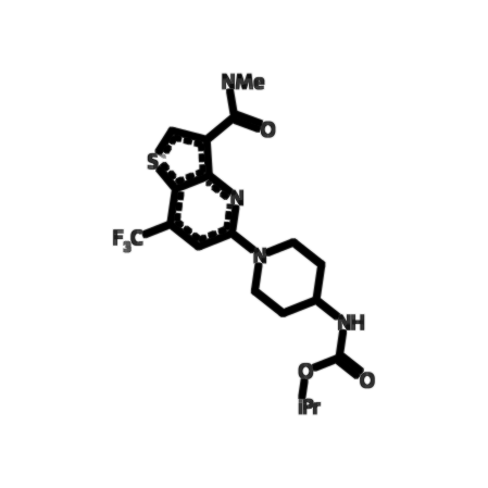 CNC(=O)c1csc2c(C(F)(F)F)cc(N3CCC(NC(=O)OC(C)C)CC3)nc12